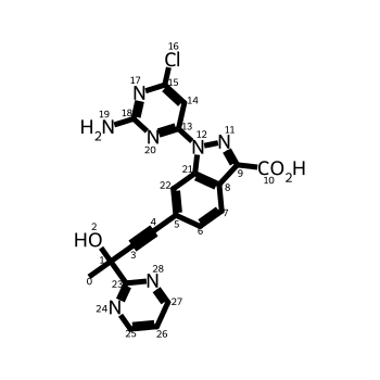 CC(O)(C#Cc1ccc2c(C(=O)O)nn(-c3cc(Cl)nc(N)n3)c2c1)c1ncccn1